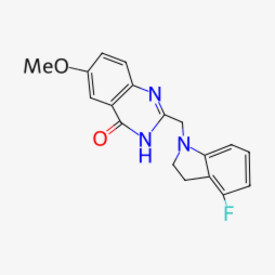 COc1ccc2nc(CN3CCc4c(F)cccc43)[nH]c(=O)c2c1